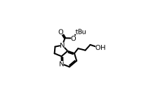 CC(C)(C)OC(=O)N1CCc2nccc(CCCO)c21